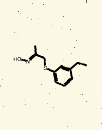 CCc1cccc(OCC(C)=NO)c1